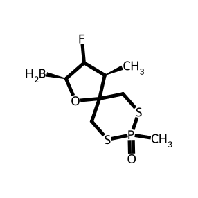 B[C@@H]1OC2(CSP(C)(=O)SC2)[C@H](C)C1F